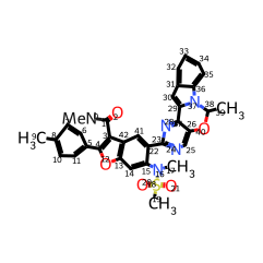 CNC(=O)c1c(-c2ccc(C)cc2)oc2cc(N(C)S(C)(=O)=O)c(-c3ncc4c(n3)-c3cc5ccccc5n3C(C)O4)cc12